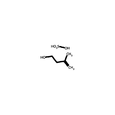 C=C(C)CCO.O=S(=O)(O)O